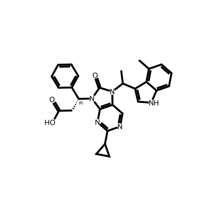 Cc1cccc2[nH]cc(C(C)n3c(=O)n([C@H](CC(=O)O)c4ccccc4)c4nc(C5CC5)ncc43)c12